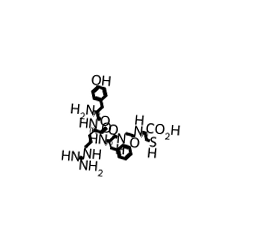 N=C(N)NCCC[C@@H](NC(=O)[C@H](N)Cc1ccc(O)cc1)C(=O)N[C@H](Cc1ccccc1)C(=O)NCC(=O)N[C@@H](CS)C(=O)O